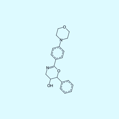 OC1CN=C(c2ccc(N3CCOCC3)cc2)OC1c1ccccc1